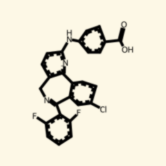 O=C(O)c1ccc(Nc2ccc3c(n2)-c2ccc(Cl)cc2C(c2c(F)cccc2F)=NC3)cc1